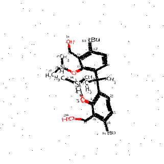 C[SiH](C)Oc1c(C(C)(C)c2ccc(C(C)(C)C)c(CO)c2O[SiH](C)C)ccc(C(C)(C)C)c1CO